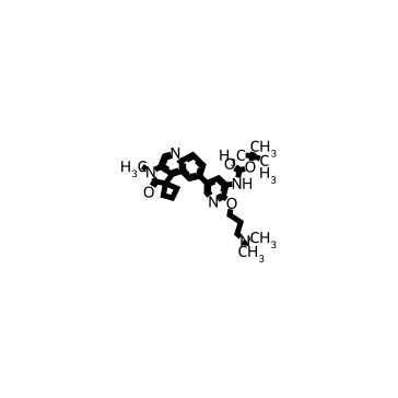 CN(C)CCCOc1ncc(-c2ccc3ncc4c(c3c2)C2(CCC2)C(=O)N4C)cc1NC(=O)OC(C)(C)C